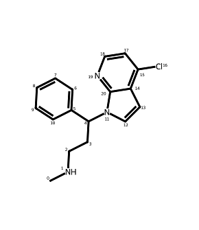 CNCCC(c1ccccc1)n1ccc2c(Cl)ccnc21